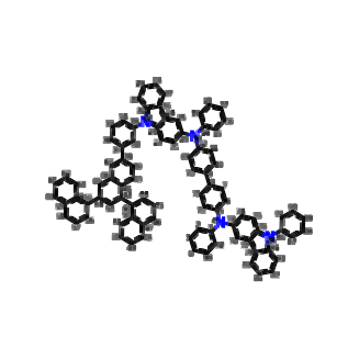 c1ccc(N(c2ccc(-c3ccc(N(c4ccccc4)c4ccc5c(c4)c4ccccc4n5-c4cccc(-c5ccc6c(-c7cccc8ccccc78)cc(-c7cccc8ccccc78)cc6c5)c4)cc3)cc2)c2ccc3c(c2)c2ccccc2n3-c2ccccc2)cc1